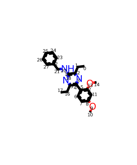 CCc1nc(-c2ccc(OC)cc2OC)c(CC)nc1NCc1ccccc1